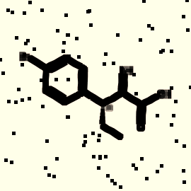 CC[C@@H](C(=N)C(=O)O)c1ccc(Br)cc1